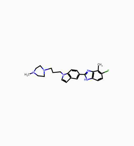 Cc1c(F)ccc2[nH]c(-c3ccc4c(ccn4CCCN4CCN(C)CC4)c3)nc12